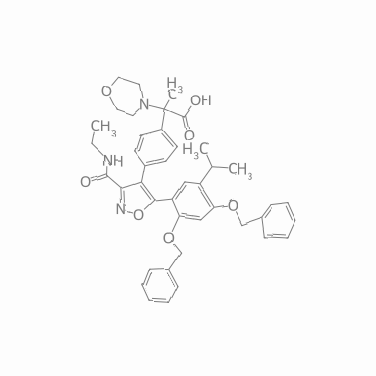 CCNC(=O)c1noc(-c2cc(C(C)C)c(OCc3ccccc3)cc2OCc2ccccc2)c1-c1ccc(C(C)(C(=O)O)N2CCOCC2)cc1